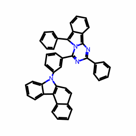 c1ccc(-c2nc(-c3cccc(-n4c5ccccc5c5c6ccccc6ccc54)c3)n3c(-c4ccccc4)c4ccccc4c3n2)cc1